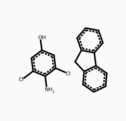 Nc1c(Cl)cc(O)cc1Cl.c1ccc2c(c1)Cc1ccccc1-2